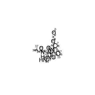 COCCCOc1cccc(-n2c(-c3ccccc3)c(C(=O)N3CCNCC3)n(CCNC(=O)CC(C)C)c2=O)c1